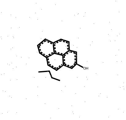 CCCC.Oc1cc2ccc3cccc4ccc(c1)c2c34